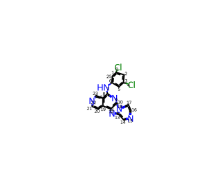 Clc1cc(Cl)cc(Nc2nc3c(nc4cnccn43)c3ccncc23)c1